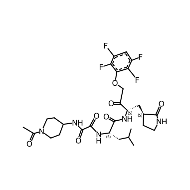 CC(=O)N1CCC(NC(=O)C(=O)N[C@@H](CC(C)C)C(=O)N[C@@H](C[C@@H]2CCNC2=O)C(=O)COc2c(F)c(F)cc(F)c2F)CC1